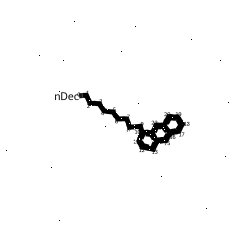 CCCCCCCCCCCCCCCCCC[CH]c1cccc2cc3ccccc3cc12